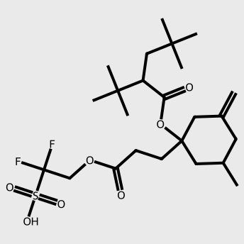 C=C1CC(C)CC(CCC(=O)OCC(F)(F)S(=O)(=O)O)(OC(=O)C(CC(C)(C)C)C(C)(C)C)C1